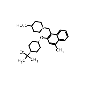 CCC(C)(C)[C@H]1CC[C@H](Oc2cc(C)c3ccccc3c2CN2CCC(C(=O)O)CC2)CC1